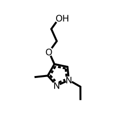 CCn1cc(OCCO)c(C)n1